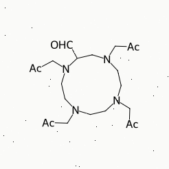 CC(=O)CN1CCN(CC(C)=O)CCN(CC(C)=O)C(C=O)CN(CC(C)=O)CC1